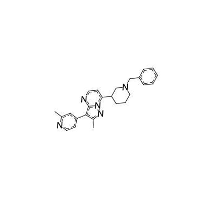 Cc1cc(-c2c(C)nn3c(C4CCCN(Cc5ccccc5)C4)ccnc23)ccn1